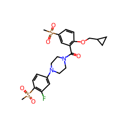 CS(=O)(=O)c1ccc(OCC2CC2)c(C(=O)N2CCN(c3ccc(S(C)(=O)=O)c(F)c3)CC2)c1